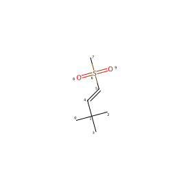 CC(C)(C)/C=C/S(C)(=O)=O